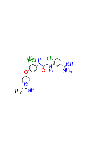 CC(=N)N1CCC(Oc2ccc(NC(=O)CNc3cc(C(=N)N)ccc3Cl)cc2)CC1.Cl.Cl